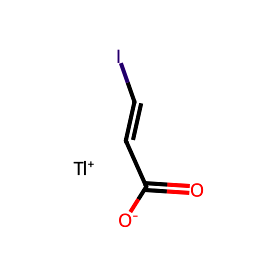 O=C([O-])/C=C/I.[Tl+]